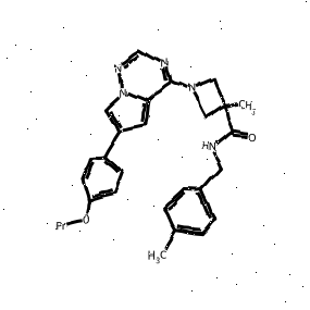 Cc1ccc(CNC(=O)C2(C)CN(c3ncnn4cc(-c5ccc(OC(C)C)cc5)cc34)C2)cc1